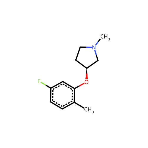 Cc1ccc(F)cc1O[C@H]1CCN(C)C1